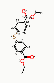 CCOC(=O)c1ccc(Sc2ccc(C(=O)OCC)cc2)cc1